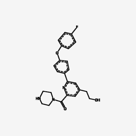 O=C(c1cc(CCO)cc(-c2ccc(Oc3ccc(F)cc3)cc2)n1)N1CCNCC1